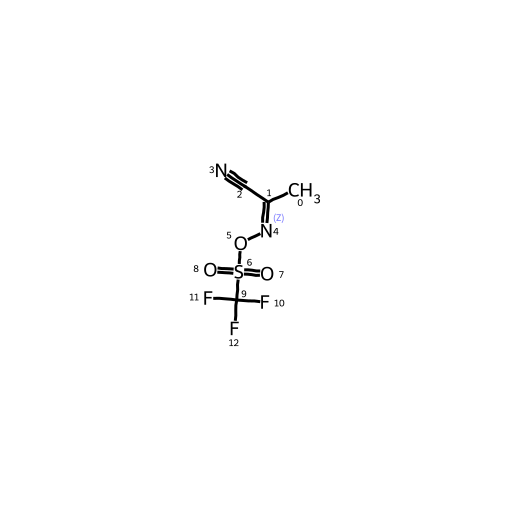 C/C(C#N)=N/OS(=O)(=O)C(F)(F)F